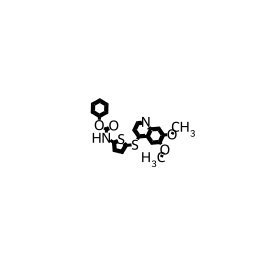 COc1cc2nccc(Sc3ccc(NC(=O)Oc4ccccc4)s3)c2cc1OC